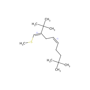 CS/C=C(\C/C=C\CCC(C)(C)C)C(C)(C)C